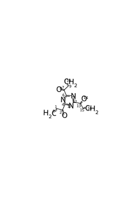 C=CC(=O)c1nc(C(=O)C=C)nc(C(=O)C=C)n1